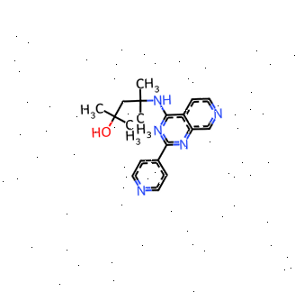 CC(C)(O)CC(C)(C)Nc1nc(-c2ccncc2)nc2cnccc12